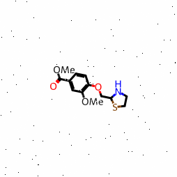 COC(=O)c1ccc(OCC2NCCS2)c(OC)c1